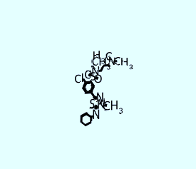 CCN(CCCN(C)C)S(=O)(=O)c1cc(-c2nn(C)c(=NC3CCCCC3)s2)ccc1Cl